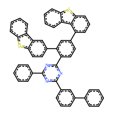 c1ccc(-c2cccc(-c3nc(-c4ccccc4)nc(-c4ccc(-c5cccc6sc7ccccc7c56)cc4-c4ccc5sc6ccccc6c5c4)n3)c2)cc1